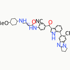 COC1CCC(NC/C=C/C(=O)Nc2ccc(C(=O)c3c[nH]c4c(-c5cc6nc7n(c6cc5C(F)(F)F)CCC7)cccc34)cc2C#N)CC1